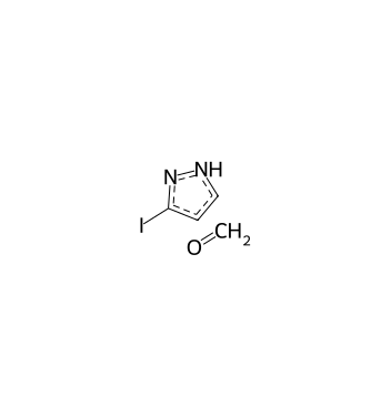 C=O.Ic1cc[nH]n1